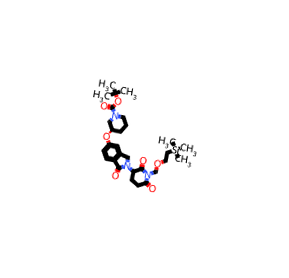 CC(C)(C)OC(=O)N1CCC[C@@H](Oc2ccc3c(c2)CN(C2CCC(=O)N(COCC[Si](C)(C)C)C2=O)C3=O)C1